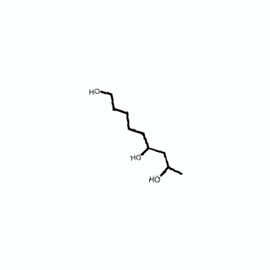 CC(O)CC(O)CCCCCO